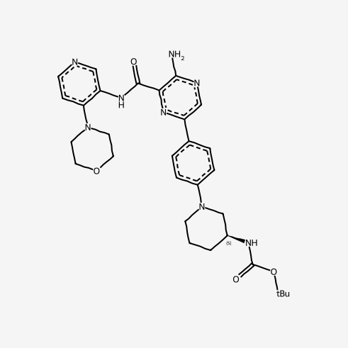 CC(C)(C)OC(=O)N[C@H]1CCCN(c2ccc(-c3cnc(N)c(C(=O)Nc4cnccc4N4CCOCC4)n3)cc2)C1